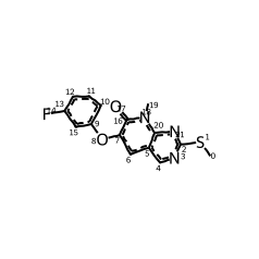 CSc1ncc2cc(Oc3cccc(F)c3)c(=O)n(C)c2n1